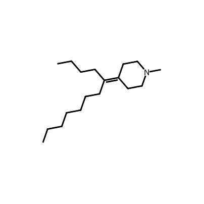 CCCCCCCC(CCCC)=C1CCN(C)CC1